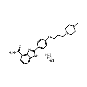 CN1CCN(CCCOc2ccc(-c3nc4c(C(N)=O)cccc4[nH]3)cc2)CC1.Cl.Cl.Cl